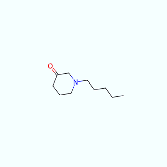 CCCCCN1CCCC(=O)C1